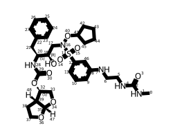 CNC(=O)NCCNc1cccc(S(=O)(=O)N(C[C@@H](O)[C@H](Cc2ccccc2)NC(=O)O[C@@H]2CO[C@@H]3OCC[C@@H]32)OC2CCCC2)c1